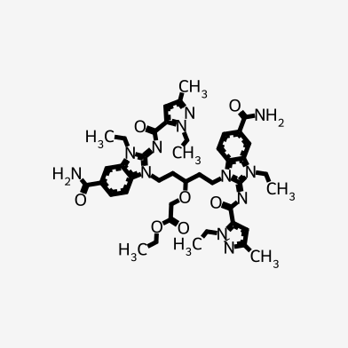 CCOC(=O)COC(CCn1c(=NC(=O)c2cc(C)nn2CC)n(CC)c2cc(C(N)=O)ccc21)CCn1c(=NC(=O)c2cc(C)nn2CC)n(CC)c2cc(C(N)=O)ccc21